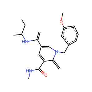 C=C(NC(C)CC)C1=CN(Cc2cccc(OC)c2)C(=C)C(C(=O)NC)=C1